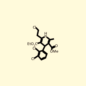 CCOC(=O)C1=C(CCCl)NC(C)=C(C(=O)OC)C1c1cccc(Cl)c1Cl